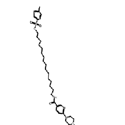 Cc1ccc(S(=O)(=O)OCCCCCCCCCCCCCCCCNC(=O)c2ccc(N3CCN(C(C)C)CC3)nc2)cc1